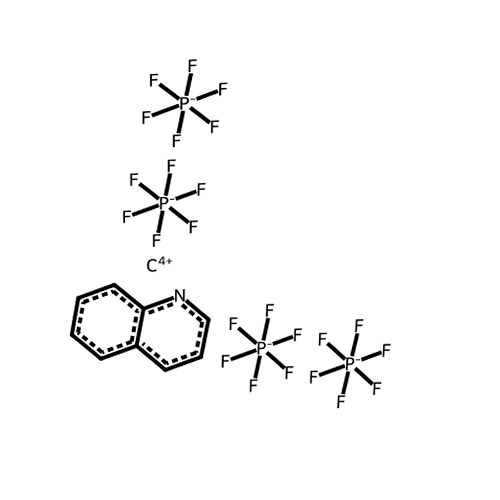 F[P-](F)(F)(F)(F)F.F[P-](F)(F)(F)(F)F.F[P-](F)(F)(F)(F)F.F[P-](F)(F)(F)(F)F.[C+4].c1ccc2ncccc2c1